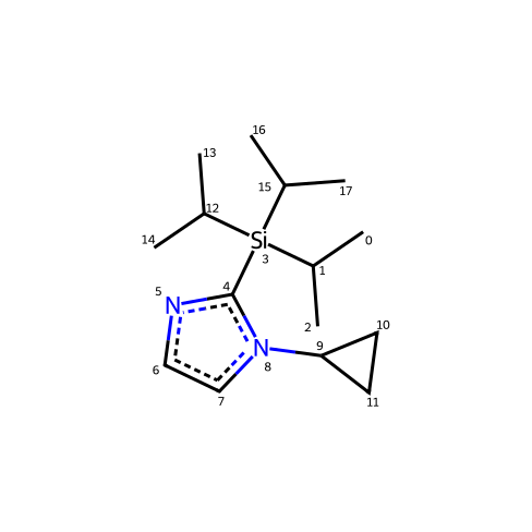 CC(C)[Si](c1nccn1C1CC1)(C(C)C)C(C)C